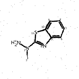 NN(I)c1nc2ccccc2s1